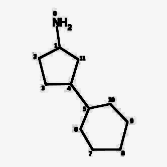 NC1CCC(C2CCCCC2)C1